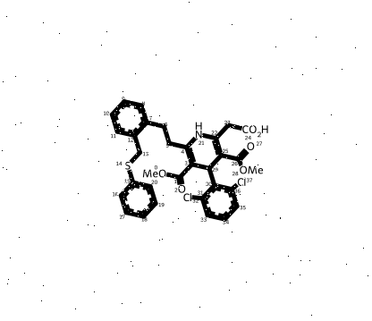 COC(=O)C1=C(CCc2ccccc2CSc2ccccc2)NC(CC(=O)O)=C(C(=O)OC)C1c1c(Cl)cccc1Cl